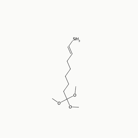 COC(CCCCCC=C[SiH3])(OC)OC